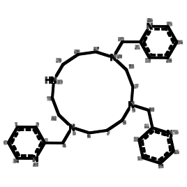 c1ccc(CN2CCCN(Cc3ccccn3)CCN(Cc3ccccn3)CCCNCC2)nc1